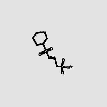 CCCS(=O)(=O)CN=NS(=O)(=O)C1CCCCC1